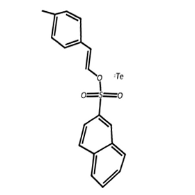 Cc1ccc(C=COS(=O)(=O)c2ccc3ccccc3c2)cc1.[Te]